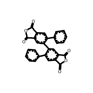 O=C1OC(=O)c2cc(-c3cc4c(cc3-c3ccccc3)C(=O)OC4=O)c(-c3ccccc3)cc21